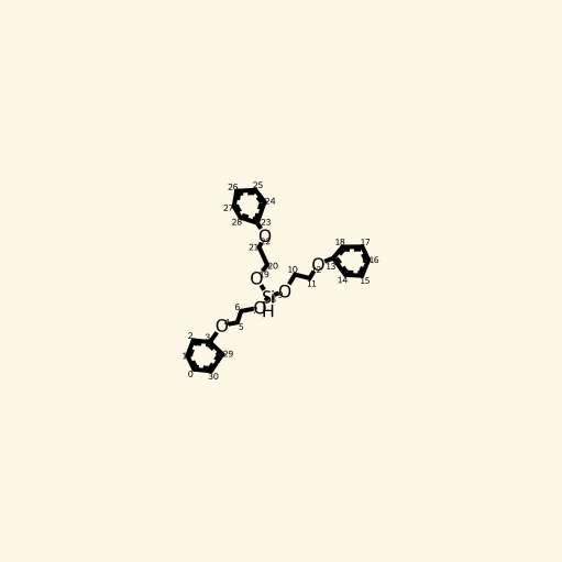 c1ccc(OCCO[SiH](OCCOc2ccccc2)OCCOc2ccccc2)cc1